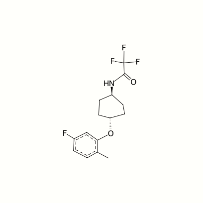 Cc1ccc(F)cc1O[C@H]1CC[C@H](NC(=O)C(F)(F)F)CC1